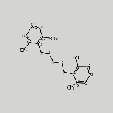 Clc1cccc(Cl)c1CCCCCc1c(Cl)cccc1Cl